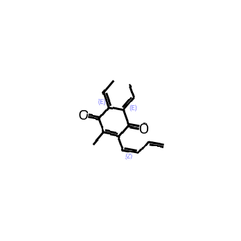 C=C/C=C\C1=C(C)C(=O)C(=C/C)/C(=C\C)C1=O